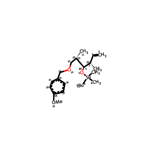 C=C[C@H](C)[C@@H](O[Si](C)(C)C(C)(C)C)[C@@H](C)COCc1ccc(OC)cc1